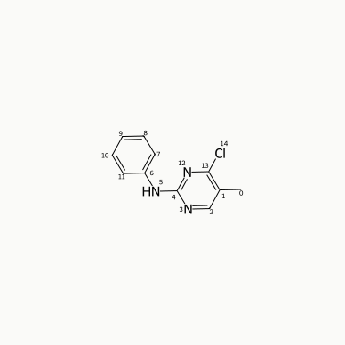 Cc1cnc(Nc2ccccc2)nc1Cl